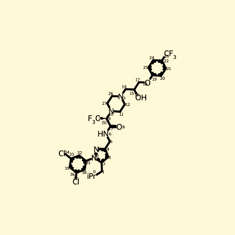 CC(C)Cc1cc(CNC(=O)[C@H](N2CCN(CC(O)COc3ccc(C(F)(F)F)cc3)CC2)C(F)(F)F)nn1-c1cc(Cl)cc(Cl)c1